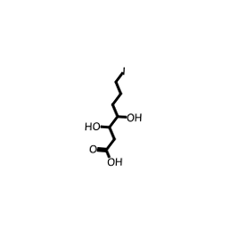 O=C(O)CC(O)C(O)CCCI